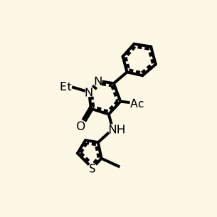 CCn1nc(-c2ccccc2)c(C(C)=O)c(Nc2ccsc2C)c1=O